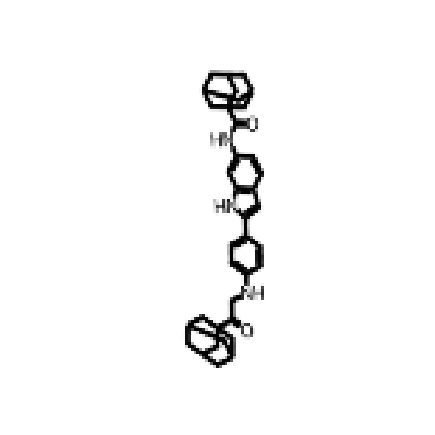 O=C(CNc1ccc(-c2cc3ccc(NC(=O)C45CC6CC(CC(C6)C4)C5)cc3[nH]2)cc1)C12CC3CC(CC(C3)C1)C2